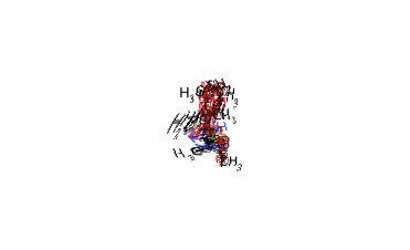 CCCC(=O)O[C@@H](C)C(=O)O[C@@H](C)C(=O)O[C@@H](C)C(=O)O[C@@H](C)C(=O)O[C@@H](C)C(=O)O[C@@H](C)C(=O)NS(=O)(=O)c1cc2c(s1)S(=O)(=O)N(CCCOC)C[C@@H]2NCC